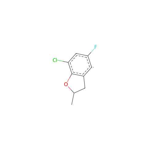 CC1Cc2[c]c(F)cc(Cl)c2O1